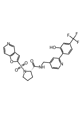 O=C(NCc1ccnc(-c2ccc(C(F)(F)F)cc2O)c1)[C@@H]1CCCN1S(=O)(=O)c1cc2cnccc2o1